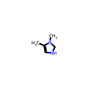 CC1=[C]NCN1C